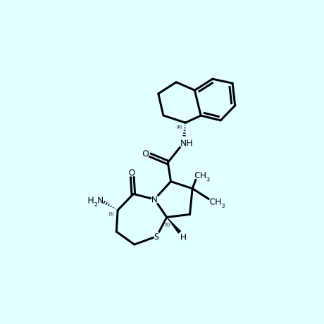 CC1(C)C[C@@H]2SCC[C@H](N)C(=O)N2C1C(=O)N[C@@H]1CCCc2ccccc21